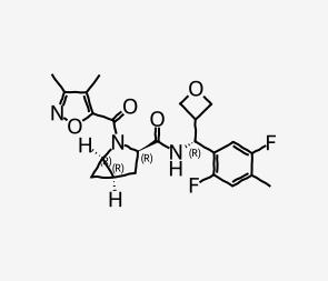 Cc1cc(F)c([C@H](NC(=O)[C@H]2C[C@H]3C[C@H]3N2C(=O)c2onc(C)c2C)C2COC2)cc1F